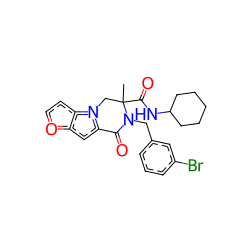 CC1(C(=O)NC2CCCCC2)Cn2c(cc3occc32)C(=O)N1Cc1cccc(Br)c1